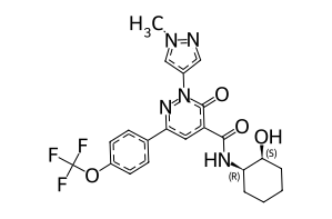 Cn1cc(-n2nc(-c3ccc(OC(F)(F)F)cc3)cc(C(=O)N[C@@H]3CCCC[C@@H]3O)c2=O)cn1